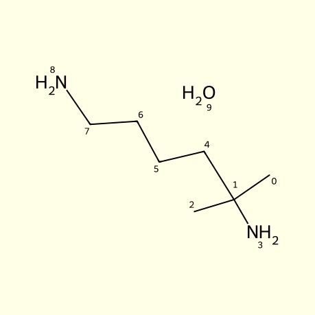 CC(C)(N)CCCCN.O